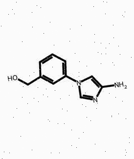 Nc1cn(-c2cccc(CO)c2)cn1